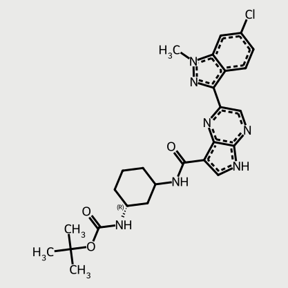 Cn1nc(-c2cnc3[nH]cc(C(=O)NC4CCC[C@@H](NC(=O)OC(C)(C)C)C4)c3n2)c2ccc(Cl)cc21